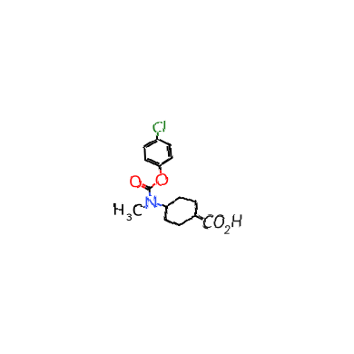 CN(C(=O)Oc1ccc(Cl)cc1)C1CCC(C(=O)O)CC1